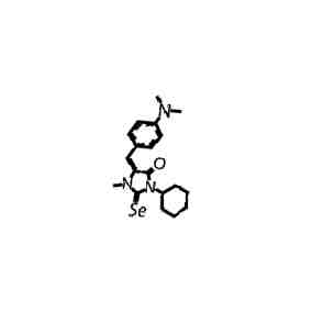 CN1C(=[Se])N(C2CCCCC2)C(=O)C1=Cc1ccc(N(C)C)cc1